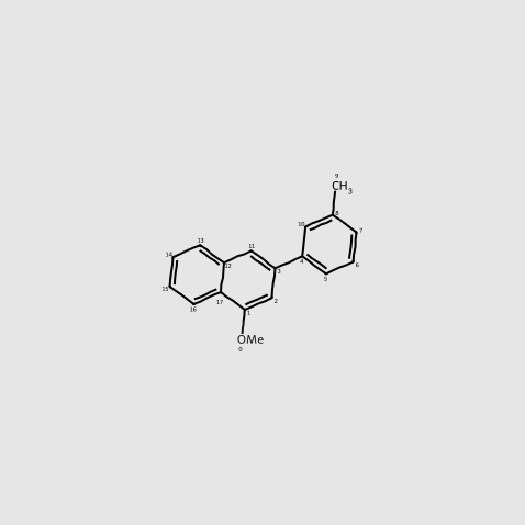 COc1cc(-c2cccc(C)c2)cc2ccccc12